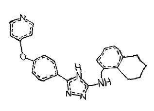 c1cc2c(c(Nc3nnc(-c4ccc(Oc5ccncc5)cc4)[nH]3)c1)CCCC2